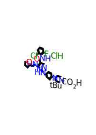 CC(C)(C)C1CN(c2ccc(Nc3ncc(C(=O)Nc4c(F)cccc4Cl)c(NCC4CCCO4)n3)cc2)CCN1C(=O)O.Cl